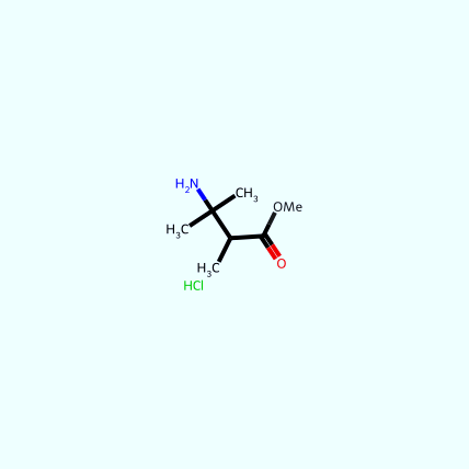 COC(=O)C(C)C(C)(C)N.Cl